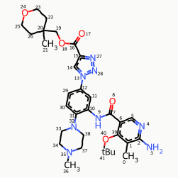 Cc1c(N)ncc(C(=O)Nc2cc(-n3cc(C(=O)OCC4(C)CCOCC4)nn3)ccc2N2CCN(C)CC2)c1OC(C)(C)C